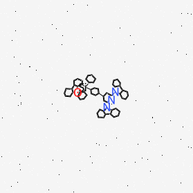 c1ccc([Si](c2ccccc2)(c2ccc(-c3cc(-n4c5ccccc5c5ccccc54)nc(-n4c5ccccc5c5ccccc54)c3)cc2)c2cccc3c2oc2ccccc23)cc1